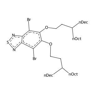 CCCCCCCCCCC(CCCCCCCC)CCOc1c(OCCC(CCCCCCCC)CCCCCCCCCC)c(Br)c2nsnc2c1Br